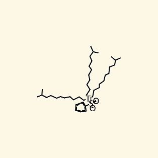 CC(C)CCCCCCCC[CH2][Ti]([CH2]CCCCCCCCC(C)C)([CH2]CCCCCCCCC(C)C)[S](=O)(=O)c1ccccc1